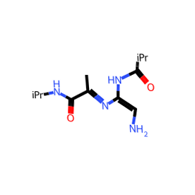 C/C(=N\C(=C/N)NC(=O)C(C)C)C(=O)NC(C)C